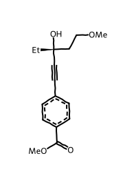 CC[C@](O)(C#Cc1ccc(C(=O)OC)cc1)CCOC